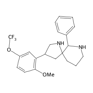 COc1ccc(OC(F)(F)F)cc1C1CNC2(CCCNC2c2ccccc2)C1